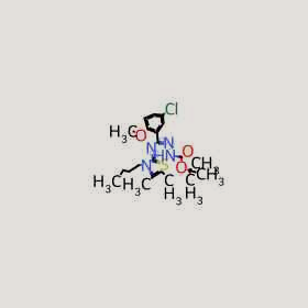 CCCCn1c(C)c(C)s/c1=N\C(=N/NC(=O)OC(C)(C)C)c1cc(Cl)ccc1OC